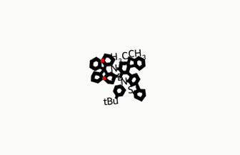 CC(C)(C)c1ccc(N2B3c4cccc5c4N(c4ccccc4C5(c4ccccc4)c4ccccc4)c4cc5c(c(c43)-c3ccc4c(sc6ccccc64)c32)-c2ccccc2C5(C)C)cc1